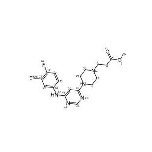 COC(=O)CCN1CCN(c2cc(Nc3ccc(F)c(Cl)c3)ncn2)CC1